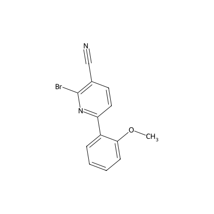 COc1ccccc1-c1ccc(C#N)c(Br)n1